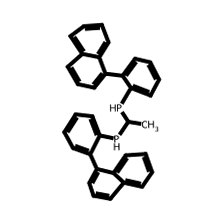 CC(Pc1ccccc1-c1cccc2ccccc12)Pc1ccccc1-c1cccc2ccccc12